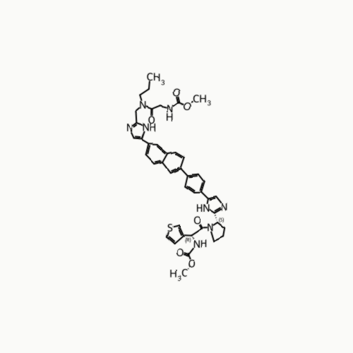 CCCN(Cc1ncc(-c2ccc3cc(-c4ccc(-c5cnc([C@@H]6CCCN6C(=O)[C@H](NC(=O)OC)c6ccsc6)[nH]5)cc4)ccc3c2)[nH]1)C(=O)CNC(=O)OC